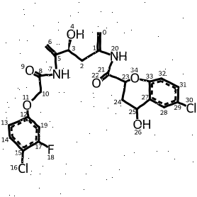 C=C(C[C@H](O)C(=C)NC(=O)COc1ccc(Cl)c(F)c1)NC(=O)C1CC(O)c2cc(Cl)ccc2O1